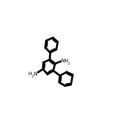 Nc1cc(-c2ccccc2)c(N)c(-c2ccccc2)c1